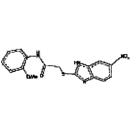 COc1ccccc1NC(=O)CSc1nc2ccc([N+](=O)[O-])cc2[nH]1